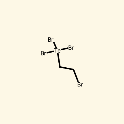 BrCC[Te](Br)(Br)Br